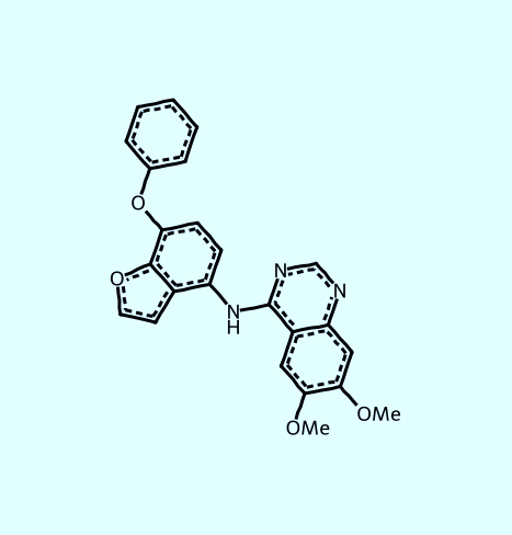 COc1cc2ncnc(Nc3ccc(Oc4ccccc4)c4occc34)c2cc1OC